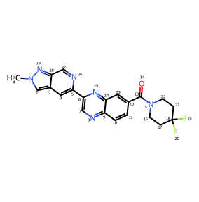 Cn1cc2cc(-c3cnc4ccc(C(=O)N5CCC(F)(F)CC5)cc4n3)ncc2n1